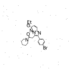 CCOc1ccc2nc(-c3ccc(Br)cc3)c(CC(=O)N3CCCCC3)n2n1